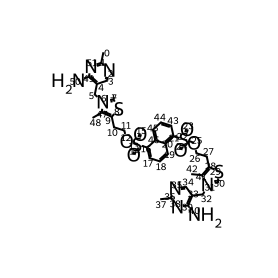 Cc1ncc(C[n+]2csc(CCOS(=O)(=O)c3cccc4c(S(=O)(=O)OCCc5sc[n+](Cc6cnc(C)nc6N)c5C)cccc34)c2C)c(N)n1